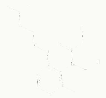 Cc1cccc(OCCOC(C)C)c1N(CCl)C(=O)CCl